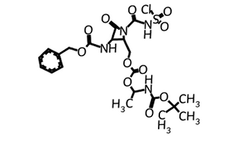 CC(NC(=O)OC(C)(C)C)OC(=O)OCC1C(NC(=O)OCc2ccccc2)C(=O)N1C(=O)NS(=O)(=O)Cl